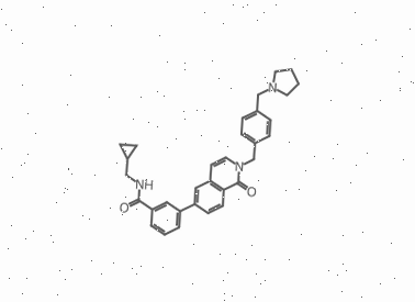 O=C(NCC1CC1)c1cccc(-c2ccc3c(=O)n(Cc4ccc(CN5CCCC5)cc4)ccc3c2)c1